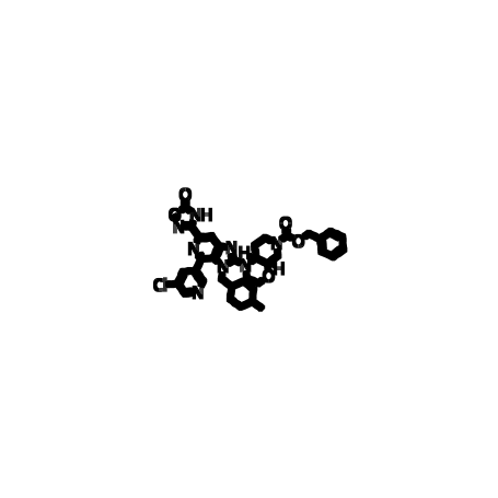 CC1CCC(Cn2c(N3CCO[C@@H]4CN(C(=O)OCc5ccccc5)CC[C@H]43)nc3cc(-c4noc(=O)[nH]4)nc(-c4cncc(Cl)c4)c32)CC1